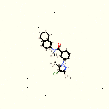 Cc1nn(-c2cccc(C(=O)N(C)c3ccc4c(c3)CCCC4)c2)c(C)c1Cl